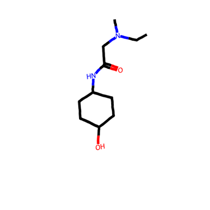 CCN(C)CC(=O)NC1CCC(O)CC1